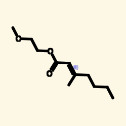 CCCC/C(C)=C/C(=O)OCCOC